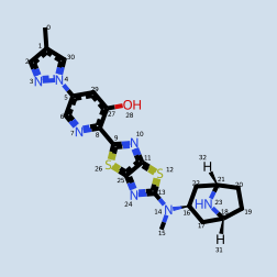 Cc1cnn(-c2cnc(-c3nc4sc(N(C)[C@@H]5C[C@H]6CC[C@@H](C5)N6)nc4s3)c(O)c2)c1